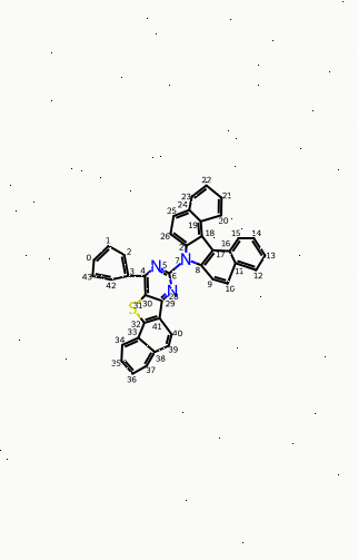 c1ccc(-c2nc(-n3c4ccc5ccccc5c4c4c5ccccc5ccc43)nc3c2sc2c4ccccc4ccc32)cc1